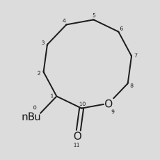 CCCCC1CCCCCCCOC1=O